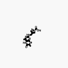 Cc1nc(NCc2cnn(C(=O)O)c2)nc2c1NC(=O)C(C)N2C